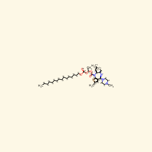 C=C/C=C1\C(=C/C)N=C(N2CCN(C)CC2)c2cc(C)sc2N1C(=O)OC(C)OC(=O)OCCCCCCCCCCCCCCCC